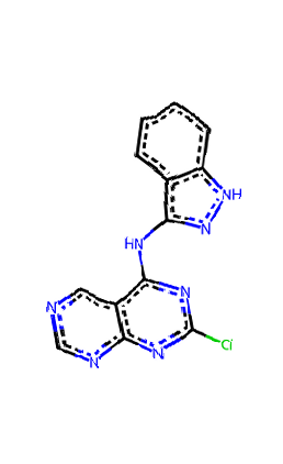 Clc1nc(Nc2n[nH]c3ccccc23)c2cncnc2n1